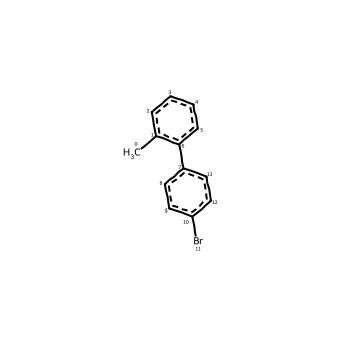 Cc1ccccc1-c1c[c]c(Br)cc1